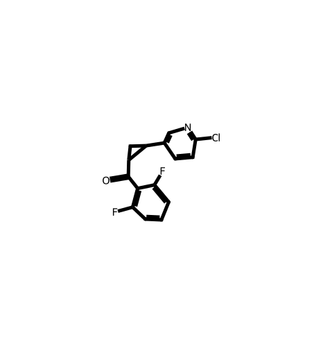 O=C(c1c(F)cccc1F)C1CC1c1ccc(Cl)nc1